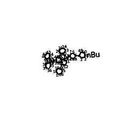 CCCCc1ccc(-c2ccc(N(c3ccc(-c4ccccc4)cc3)c3ccccc3-c3cccc(-n4c5ccccc5c5ccccc54)c3)cc2)cc1